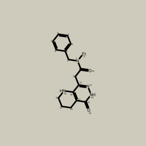 CCN(Cc1ccccc1)C(=O)Cc1n[nH]c(=O)c2c1NCCC2